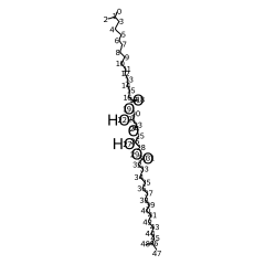 CC(C)CCCCCCCCCCCCCCC(=O)OCC(O)COCC(O)COC(=O)CCCCCCCCCCCCCCC(C)C